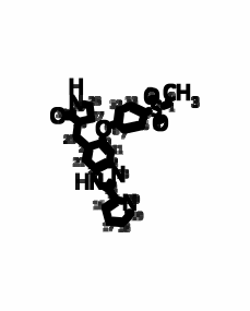 CCS(=O)(=O)c1ccc(Oc2cc3nc(-c4ccccn4)[nH]c3cc2CC2CCNC2=O)cc1